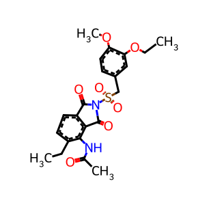 CCOc1cc(CS(=O)(=O)N2C(=O)c3ccc(CC)c(NC(C)=O)c3C2=O)ccc1OC